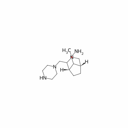 CN1C[C@@H]2CC[C@@H](C2CN)C1CN1CCNCC1